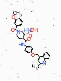 COc1cccc(C(=O)N2CCC(C(=O)Nc3ccc(OCc4cc(C)nc5ccccc45)cc3)[C@@H](C(=O)NO)C2)c1